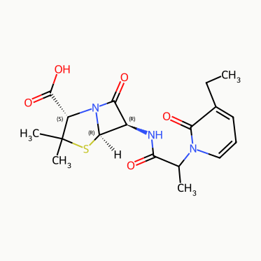 CCc1cccn(C(C)C(=O)N[C@@H]2C(=O)N3[C@@H]2SC(C)(C)[C@@H]3C(=O)O)c1=O